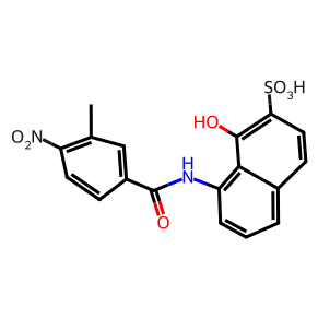 Cc1cc(C(=O)Nc2cccc3ccc(S(=O)(=O)O)c(O)c23)ccc1[N+](=O)[O-]